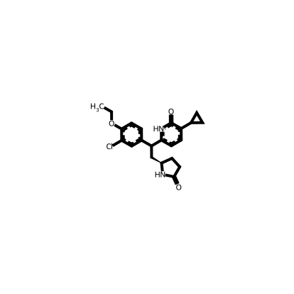 CCOc1ccc(C(C[C@H]2CCC(=O)N2)c2ccc(C3CC3)c(=O)[nH]2)cc1Cl